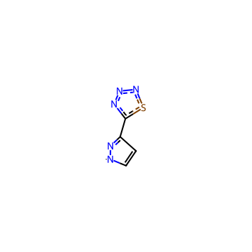 C1=CC(c2nnns2)=N[N]1